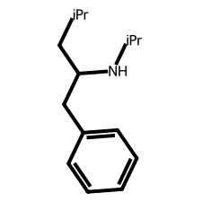 CC(C)CC(Cc1ccccc1)NC(C)C